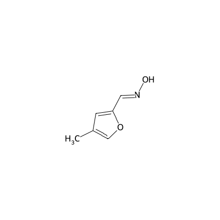 Cc1coc(C=NO)c1